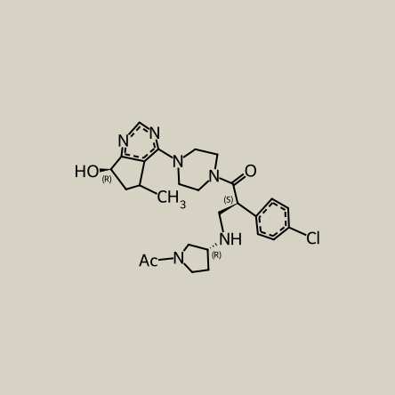 CC(=O)N1CC[C@@H](NC[C@@H](C(=O)N2CCN(c3ncnc4c3C(C)C[C@H]4O)CC2)c2ccc(Cl)cc2)C1